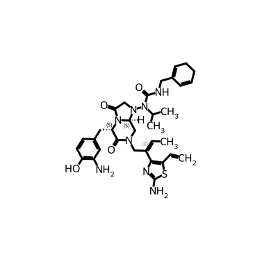 C=Cc1sc(N)nc1/C(=C\C)CN1C[C@H]2N(C(=O)CN2N(C(=O)NCC2=CCCC=C2)C(C)C)[C@@H](Cc2ccc(O)c(N)c2)C1=O